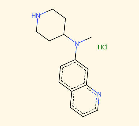 CN(c1ccc2cccnc2c1)C1CCNCC1.Cl